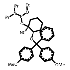 CCOP(O[C@]1(C#N)CCCC[C@H]1OC(c1ccccc1)(c1ccc(OC)cc1)c1ccc(OC)cc1)N(C(C)C)C(C)C